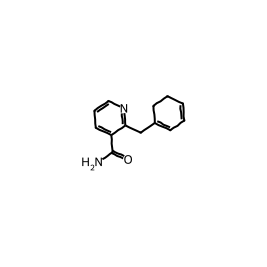 NC(=O)c1cccnc1CC1=CC=CCC1